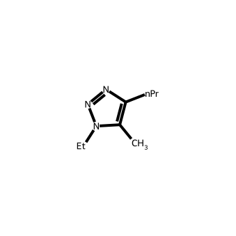 CCCc1nnn(CC)c1C